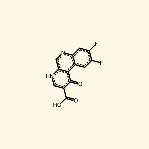 O=C(O)c1c[nH]c2cnc3cc(F)c(F)cc3c2c1=O